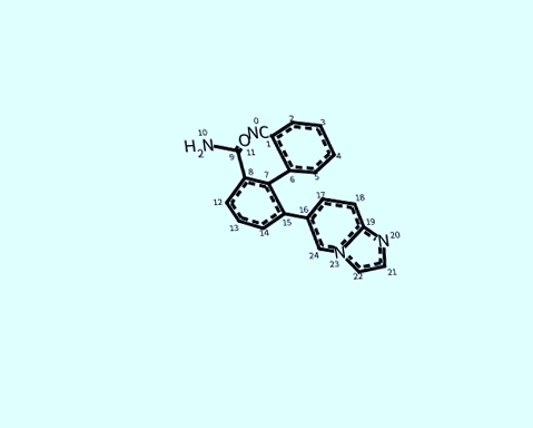 N#Cc1ccccc1-c1c(C(N)=O)cccc1-c1ccc2nccn2c1